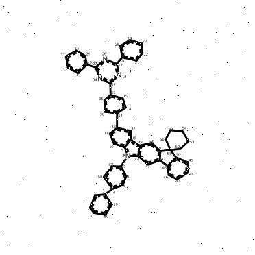 c1ccc(-c2ccc(-n3c4ccc(-c5ccc(-c6nc(-c7ccccc7)nc(-c7ccccc7)n6)cc5)cc4c4cc5c(cc43)-c3ccccc3C53CCCCC3)cc2)cc1